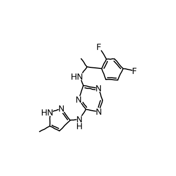 Cc1cc(Nc2ncnc(NC(C)c3ccc(F)cc3F)n2)n[nH]1